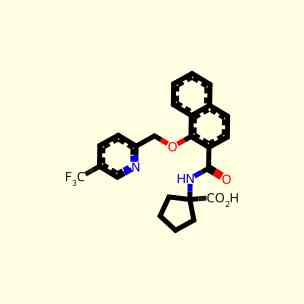 O=C(NC1(C(=O)O)CCCC1)c1ccc2ccccc2c1OCc1ccc(C(F)(F)F)cn1